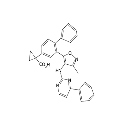 Cc1noc(-c2cc(C3(C(=O)O)CC3)ccc2-c2ccccc2)c1Nc1nccc(-c2ccccc2)n1